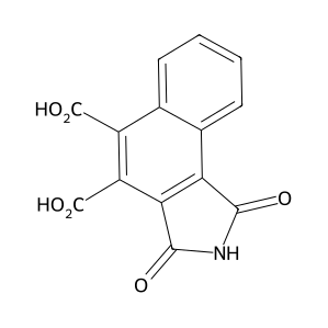 O=C(O)c1c2c(c3ccccc3c1C(=O)O)C(=O)NC2=O